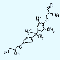 Bc1cc(C(C)(C)c2ccc(OCC(O)CO)cc2)cc(Br)c1OCC(O)CCl